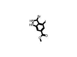 COC(=O)c1cc(I)c2c(c1)NNC2Br